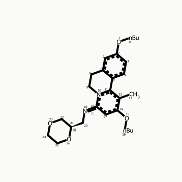 CCCCOc1ccc2c(c1)CCn1c-2c(C)c(OCCCC)c/c1=N\C[C@@H]1COCCO1